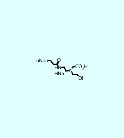 CCCCCCCCCCCC(=O)NCCN(CCO)CC(=O)O.[NaH]